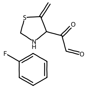 C=C1SCNC1C(=O)C=O.Fc1ccccc1